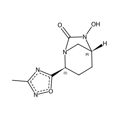 Cc1noc([C@@H]2CC[C@@H]3CN2C(=O)N3O)n1